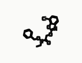 CCN(OCc1ccccc1)C(=O)COc1nc2cccc(Cl)c2o1